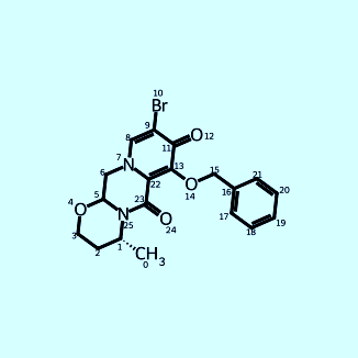 C[C@@H]1CCOC2Cn3cc(Br)c(=O)c(OCc4ccccc4)c3C(=O)N21